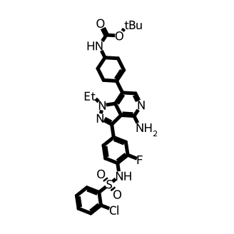 CCn1nc(-c2ccc(NS(=O)(=O)c3ccccc3Cl)c(F)c2)c2c(N)ncc(C3=CCC(NC(=O)OC(C)(C)C)CC3)c21